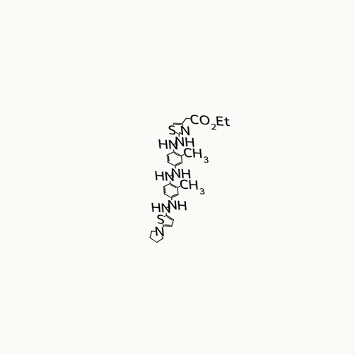 CCOC(=O)Cc1csc(NNc2ccc(NNc3ccc(NNc4ccc(N5CCCC5)s4)cc3C)cc2C)n1